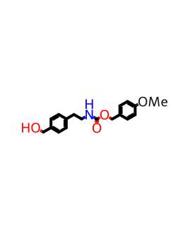 COc1ccc(COC(=O)NCCc2ccc(CO)cc2)cc1